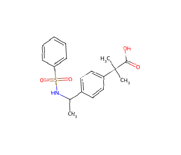 CC(NS(=O)(=O)c1ccccc1)c1ccc(C(C)(C)C(=O)O)cc1